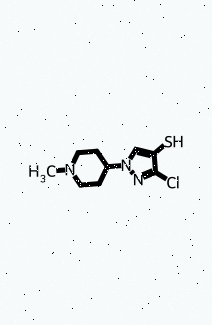 CN1CCC(n2cc(S)c(Cl)n2)CC1